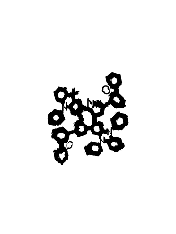 CC1(C)c2ccccc2N(c2ccccc2)c2cc3c4cc(-c5cccc6c5oc5ccccc56)ccc4c4cc5c(cc4c4cc(-c6cccc7c6oc6ccccc67)cnc4c3cc21)n(-c1ccccc1)c1ccccc1n5-c1ccccc1